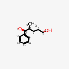 CC(CCCO)C(=O)c1ccccc1